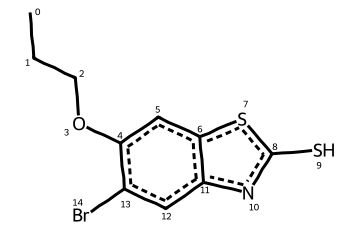 CCCOc1cc2sc(S)nc2cc1Br